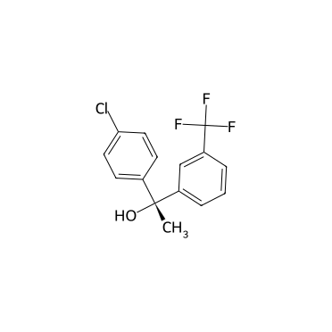 C[C@@](O)(c1ccc(Cl)cc1)c1cccc(C(F)(F)F)c1